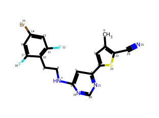 Cc1cc(-c2cc(NCCc3c(F)cc(Br)cc3F)ncn2)sc1C#N